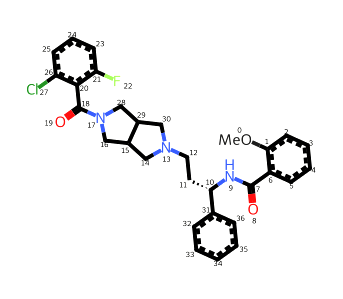 COc1ccccc1C(=O)N[C@@H](CCN1CC2CN(C(=O)c3c(F)cccc3Cl)CC2C1)c1ccccc1